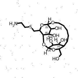 NCCSCC1O[C@@H]2OCCCCCC3C(CO)O[C@H](OC1[C@H](O)C2O)C(O)[C@H]3O